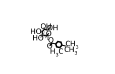 Cc1cc(C(=O)OC[C@H]2OC(O)[C@H](O)[C@@H](O)[C@H]2O)ccc1C(C)C